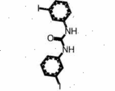 O=C(Nc1cccc(I)c1)Nc1cccc(I)c1